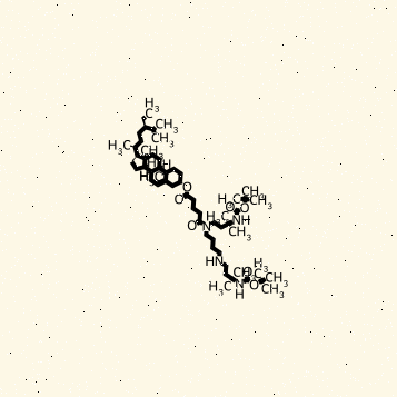 CC[C@H](CC[C@@H](C)[C@H]1CC[C@H]2[C@@H]3CC=C4C[C@@H](OC(=O)CCCC(=O)N(CCCCNCCC(C)(C)NC(=O)OC(C)(C)C)CCC(C)(C)NC(=O)OC(C)(C)C)CC[C@]4(C)[C@H]3CC[C@]12C)C(C)C